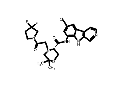 CC1(C)CN(CC(=O)N2CCC(F)(F)C2)[C@H](C(=O)Nc2cc(Cl)cc3c2[nH]c2cnccc23)CO1